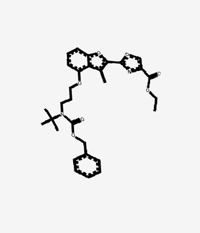 CCOC(=O)c1coc(-c2oc3cccc(OCCCN(C(=O)OCc4ccccc4)C(C)(C)C)c3c2C)n1